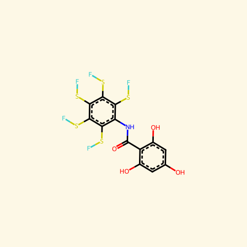 O=C(Nc1c(SF)c(SF)c(SF)c(SF)c1SF)c1c(O)cc(O)cc1O